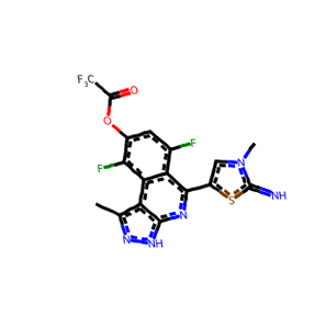 Cc1n[nH]c2nc(-c3cn(C)c(=N)s3)c3c(F)cc(OC(=O)C(F)(F)F)c(F)c3c12